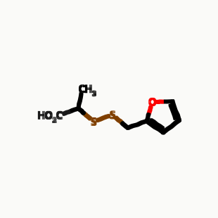 CC(SSCc1ccco1)C(=O)O